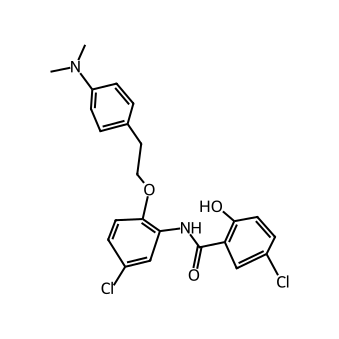 CN(C)c1ccc(CCOc2ccc(Cl)cc2NC(=O)c2cc(Cl)ccc2O)cc1